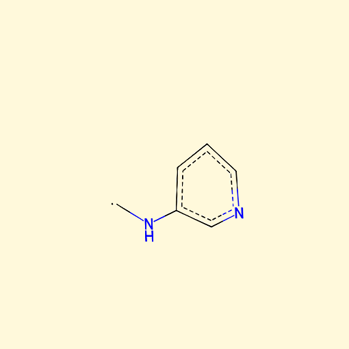 [CH2]Nc1cccnc1